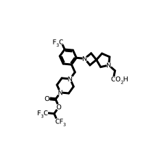 O=C(O)CN1CCC2(C1)CN(c1cc(C(F)(F)F)ccc1CN1CCN(C(=O)OC(C(F)(F)F)C(F)(F)F)CC1)C2